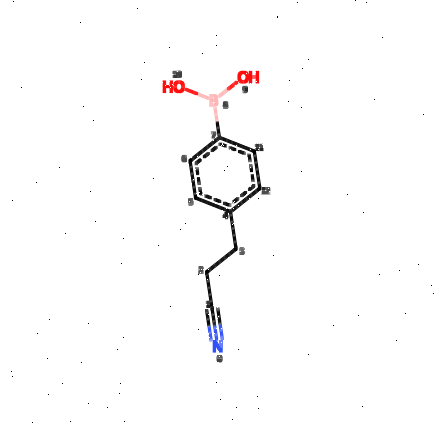 N#CCCc1ccc(B(O)O)cc1